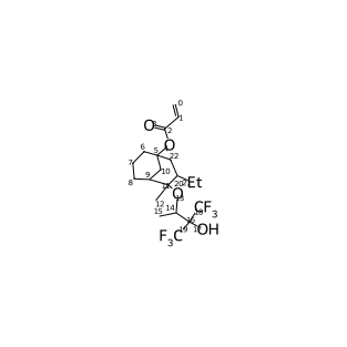 C=CC(=O)OC12CCCC(C1)C(C)(OC(C)C(O)(C(F)(F)F)C(F)(F)F)C(CC)C2